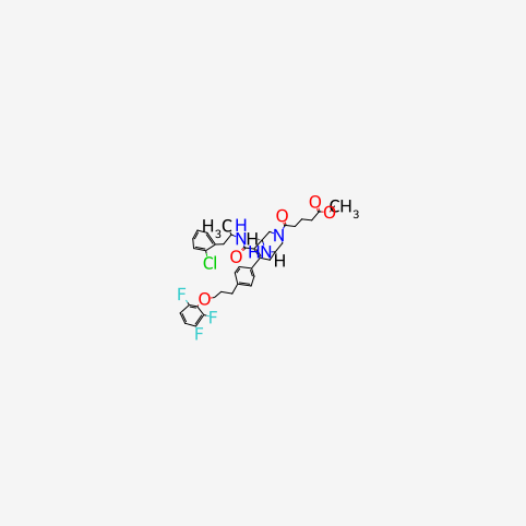 COC(=O)CCCC(=O)N1C[C@H]2CC(c3ccc(CCCOc4c(F)ccc(F)c4F)cc3)=C(C(=O)NC(C)Cc3ccccc3Cl)[C@@H](C1)N2